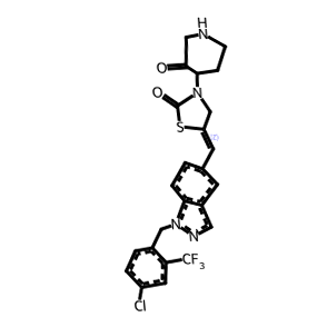 O=C1CNCCC1N1C/C(=C/c2ccc3c(cnn3Cc3ccc(Cl)cc3C(F)(F)F)c2)SC1=O